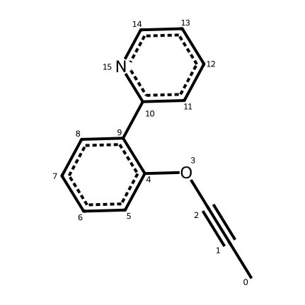 CC#COc1ccccc1-c1ccccn1